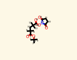 CC(C)(C)OC(=O)C(C)(C)CC(C)(C)C(=O)ON1C(=O)CCC1=O